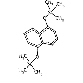 C[Si](C)(C)Oc1cccc2c(O[Si](C)(C)C)cccc12